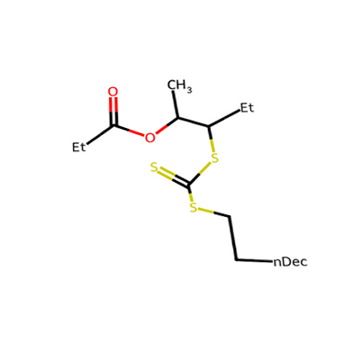 CCCCCCCCCCCCSC(=S)SC(CC)C(C)OC(=O)CC